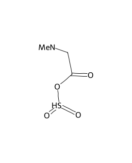 CNCC(=O)O[SH](=O)=O